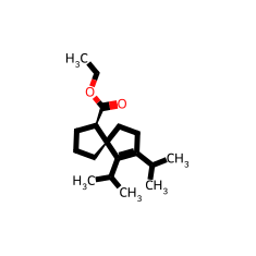 CCOC(=O)[C@@H]1CCC[C@]12CCC(C(C)C)=C2C(C)C